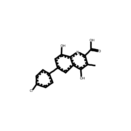 Cc1c(C(=O)O)nc2c(O)cc(-c3ccc(Cl)cc3)cc2c1O